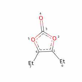 CCc1oc(=O)oc1CC